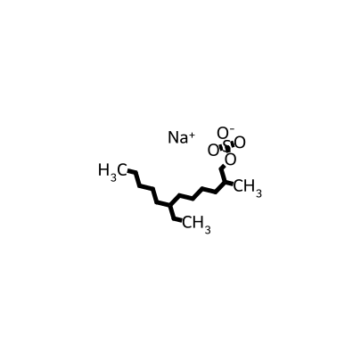 CCCCCC(CC)CCCCC(C)COS(=O)(=O)[O-].[Na+]